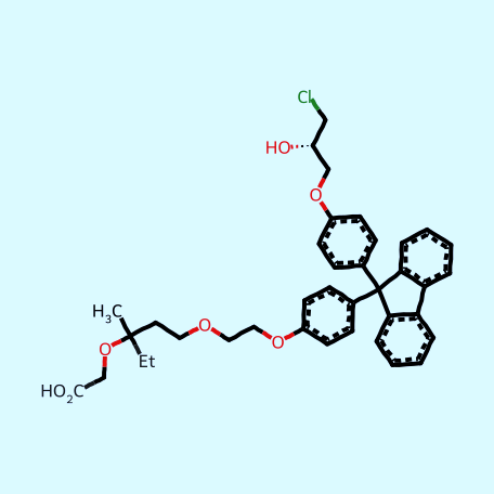 CCC(C)(CCOCCOc1ccc(C2(c3ccc(OC[C@H](O)CCl)cc3)c3ccccc3-c3ccccc32)cc1)OCC(=O)O